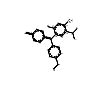 C=c1ccc(=C(c2ccc(CC)cc2)c2cc(C(C)C)c(O)cc2C)cc1